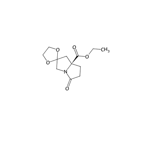 CCOC(=O)[C@@]12CCC(=O)N1CC1(C2)OCCO1